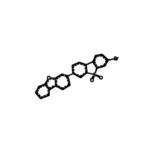 O=S1(=O)c2cc(Br)ccc2-c2ccc(-c3ccc4c(c3)oc3ccccc34)cc21